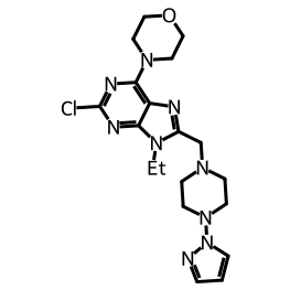 CCn1c(CN2CCN(n3cccn3)CC2)nc2c(N3CCOCC3)nc(Cl)nc21